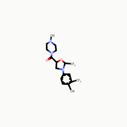 N#Cc1ccc(N2CC(C(=O)N3CCN(C#N)CC3)OC2C(F)(F)F)cc1C(F)(F)F